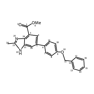 COC(=O)c1cc(-c2ccc(OCc3ccccc3)cc2)cc2[nH]c(C)nc12